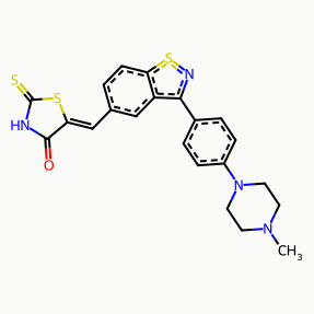 CN1CCN(c2ccc(-c3nsc4ccc(/C=C5\SC(=S)NC5=O)cc34)cc2)CC1